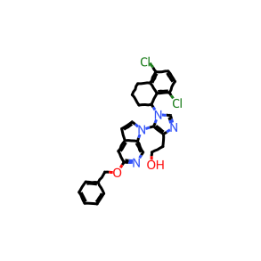 OCCc1ncn(C2CCCc3c(Cl)ccc(Cl)c32)c1-n1ccc2cc(OCc3ccccc3)ncc21